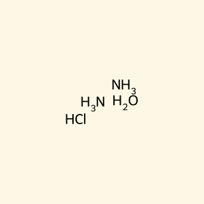 Cl.N.N.O